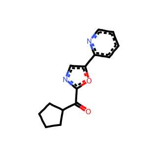 O=C(c1ncc(-c2ccccn2)o1)C1CCCC1